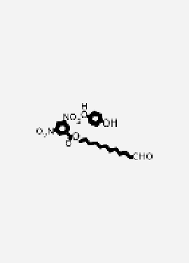 O=CCCCCCCCCCCCOC(=O)c1cc([N+](=O)[O-])cc([N+](=O)[O-])c1.Oc1ccc(O)cc1